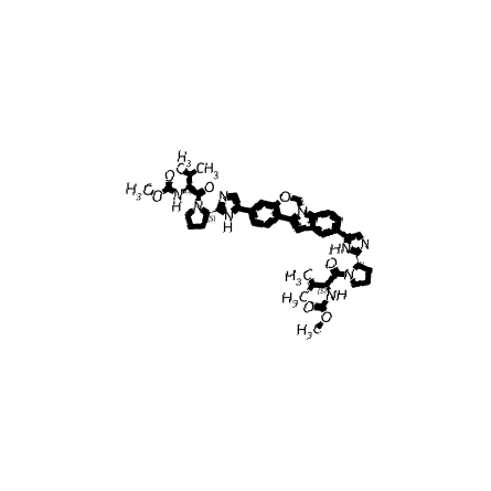 COC(=O)N[C@H](C(=O)N1CCC[C@H]1c1ncc(-c2ccc3c(c2)OCn2c-3cc3cc(-c4cnc([C@@H]5CCCN5C(=O)[C@@H](NC(=O)OC)C(C)C)[nH]4)ccc32)[nH]1)C(C)C